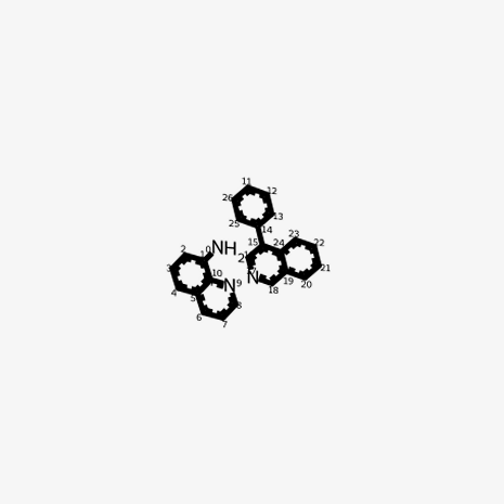 Nc1cccc2cccnc12.c1ccc(-c2cncc3ccccc23)cc1